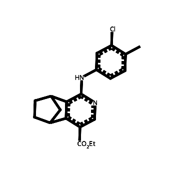 CCOC(=O)c1cnc(Nc2ccc(C)c(Cl)c2)c2c1C1CCC2C1